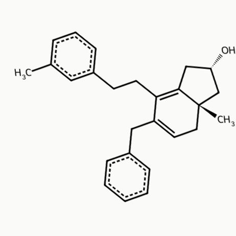 Cc1cccc(CCC2=C3C[C@H](O)C[C@]3(C)CC=C2Cc2ccccc2)c1